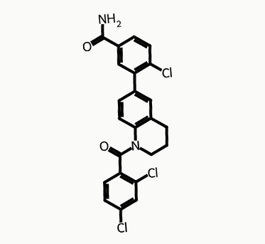 NC(=O)c1ccc(Cl)c(-c2ccc3c(c2)CCCN3C(=O)c2ccc(Cl)cc2Cl)c1